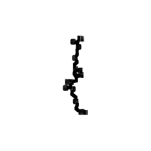 CCC(=O)OCCOCCn1cc(CNC(=O)OCCOCCC(C)(C)C)nn1